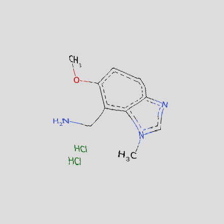 COc1ccc2ncn(C)c2c1CN.Cl.Cl